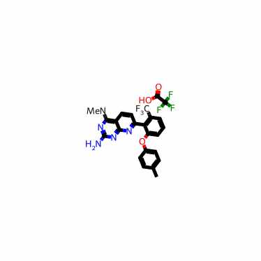 CNc1nc(N)nc2nc(-c3c(Oc4ccc(C)cc4)cccc3C(F)(F)F)ccc12.O=C(O)C(F)(F)F